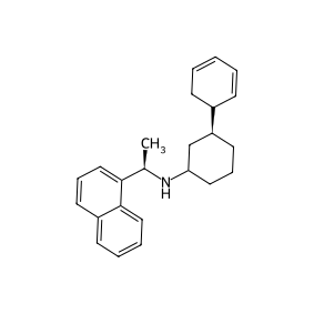 C[C@@H](NC1CCC[C@H](C2C=CC=CC2)C1)c1cccc2ccccc12